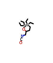 CC[Si]1(CC)CCC(CN=C=O)O[Si]1(CC)CC